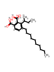 CCCCCCCCCCc1ccc(C(=O)O)c(C(=O)O)c1C(C)CC